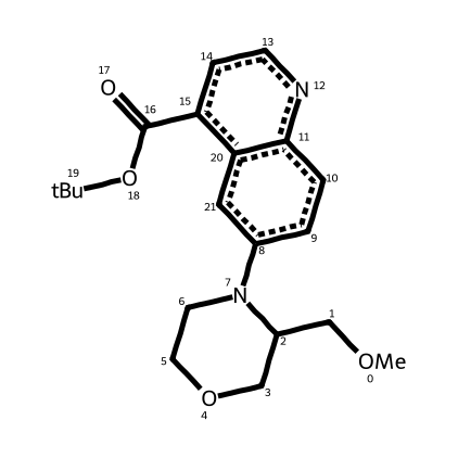 COCC1COCCN1c1ccc2nccc(C(=O)OC(C)(C)C)c2c1